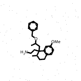 COc1ccc2c(c1)C(CCN)(CC(C)OCc1ccccc1)C(C)CC2